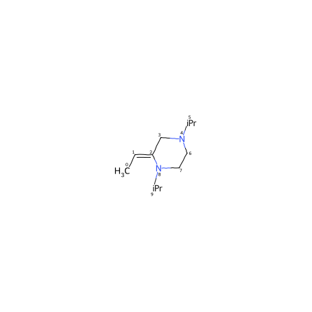 C/C=C1/CN(C(C)C)CCN1C(C)C